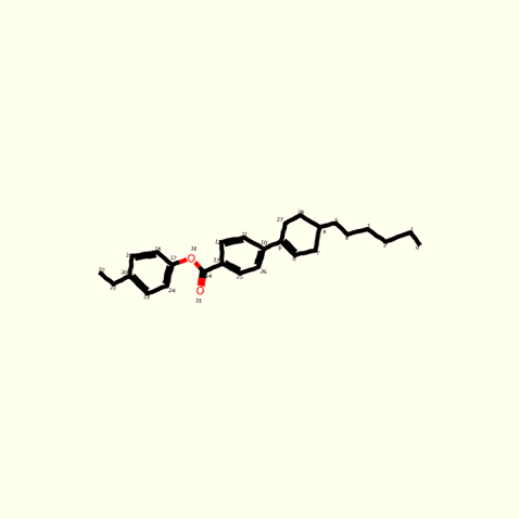 CCCCCCC1CC=C(c2ccc(C(=O)Oc3ccc(CC)cc3)cc2)CC1